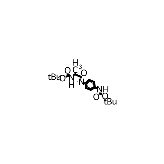 C[C@H](NC(=O)OC(C)(C)C)C(=O)[N]c1ccc(NC(=O)OC(C)(C)C)cc1